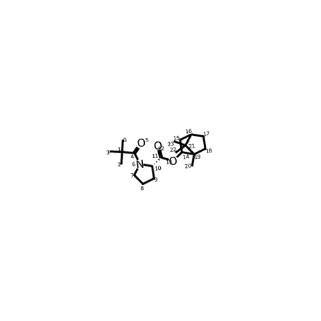 CC(C)(C)C(=O)N1CCC[C@H]1C(=O)OC1CC2CCC1(C)C2(C)C